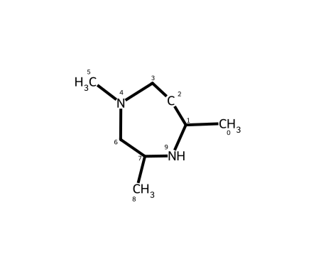 CC1CCN(C)CC(C)N1